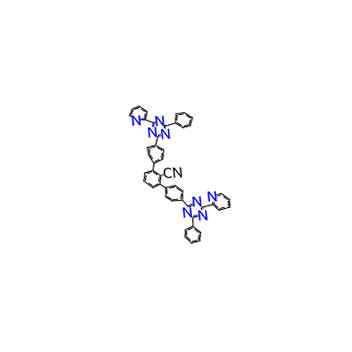 N#Cc1c(-c2ccc(-c3nc(-c4ccccc4)nc(-c4ccccn4)n3)cc2)cccc1-c1ccc(-c2nc(-c3ccccc3)nc(-c3ccccn3)n2)cc1